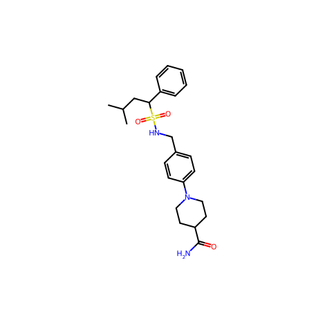 CC(C)CC(c1ccccc1)S(=O)(=O)NCc1ccc(N2CCC(C(N)=O)CC2)cc1